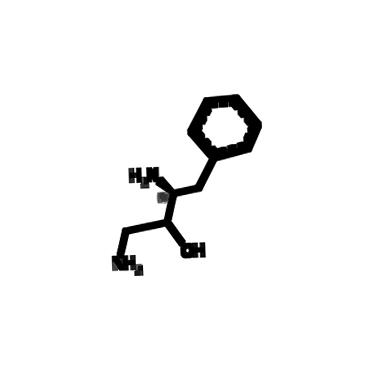 NCC(O)[C@@H](N)Cc1ccccc1